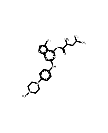 Cc1csc2nc(Nc3ccc(N4CCN(C)CC4)cc3)nc(NC(=O)C(N)CC(C)C)c12